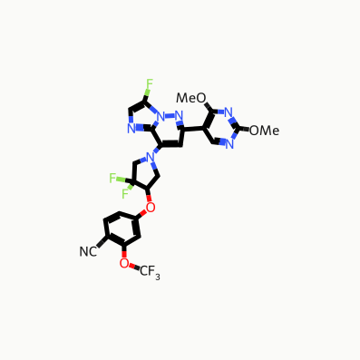 COc1ncc(-c2cc(N3CC(Oc4ccc(C#N)c(OC(F)(F)F)c4)C(F)(F)C3)c3ncc(F)n3n2)c(OC)n1